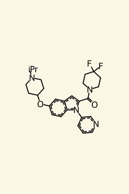 CC(C)N1CCC(Oc2ccc3c(c2)cc(C(=O)N2CCC(F)(F)CC2)n3-c2cccnc2)CC1